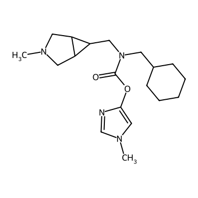 CN1CC2C(C1)C2CN(CC1CCCCC1)C(=O)Oc1cn(C)cn1